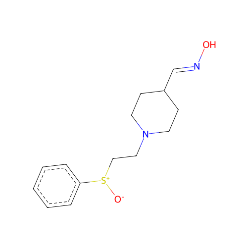 [O-][S+](CCN1CCC(C=NO)CC1)c1ccccc1